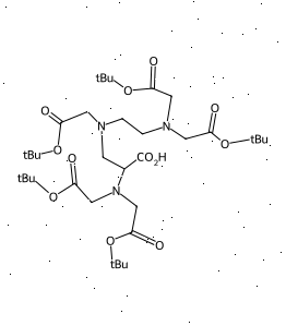 CC(C)(C)OC(=O)CN(CCN(CC(=O)OC(C)(C)C)CC(C(=O)O)N(CC(=O)OC(C)(C)C)CC(=O)OC(C)(C)C)CC(=O)OC(C)(C)C